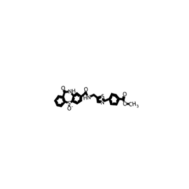 COC(=O)c1ccc(-c2ncc(CNC(=O)c3ccc4c(c3)NC(=O)c3ccccc3[S+]4[O-])s2)cc1